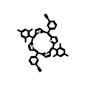 C#Cc1cccc(C2=C3C=CC(=N3)C(c3c(C)cc(C)cc3C)=C3C=CC(=N3)C(c3cccc(C#C)c3)=C3C=CC(=N3)C(c3c(C)cc(C)cc3C)=C3C=CC2=N3)c1